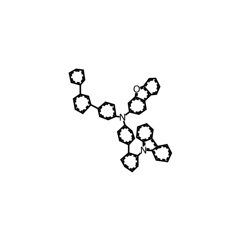 c1ccc(-c2cccc(-c3ccc(N(c4ccc(-c5ccccc5-n5c6ccccc6c6ccccc65)cc4)c4ccc5c(c4)oc4ccccc45)cc3)c2)cc1